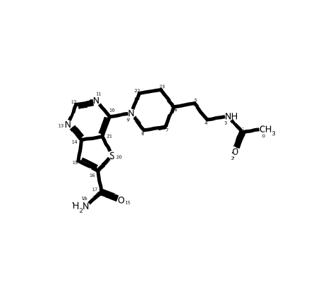 CC(=O)NCCC1CCN(c2ncnc3cc(C(N)=O)sc23)CC1